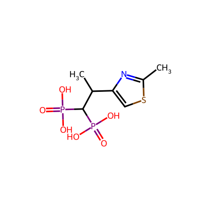 Cc1nc(C(C)C(P(=O)(O)O)P(=O)(O)O)cs1